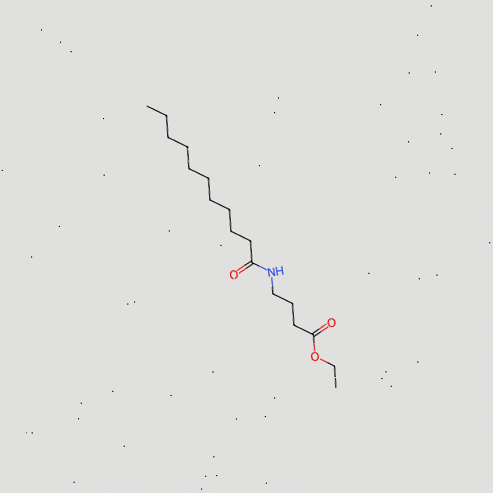 CCCCCCCCCCC(=O)NCCCC(=O)OCC